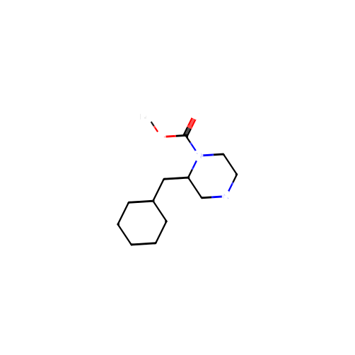 CC(C)(C)OC(=O)N1CCNCC1CC1CCCCC1